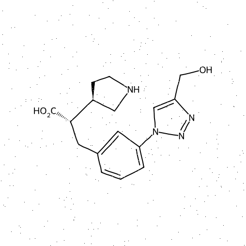 O=C(O)[C@@H](Cc1cccc(-n2cc(CO)nn2)c1)[C@H]1CCNC1